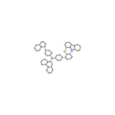 c1cc(-c2ccc(N(c3ccc(-c4cccc5ccccc45)cc3)c3cc4ccccc4c4ccccc34)cc2)c2c(c1)-n1c3ccccc3c3cccc(c31)O2